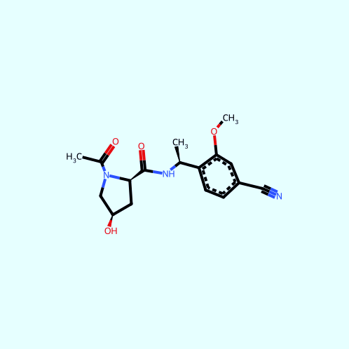 COc1cc(C#N)ccc1[C@H](C)NC(=O)[C@H]1C[C@@H](O)CN1C(C)=O